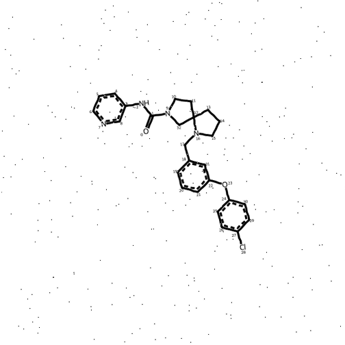 O=C(Nc1cccnc1)N1CCC2(CCCN2Cc2cccc(Oc3ccc(Cl)cc3)c2)C1